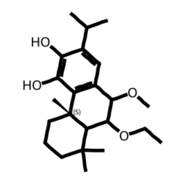 CCOC1C(OC)c2cc(C(C)C)c(O)c(O)c2[C@@]2(C)CCCC(C)(C)C12